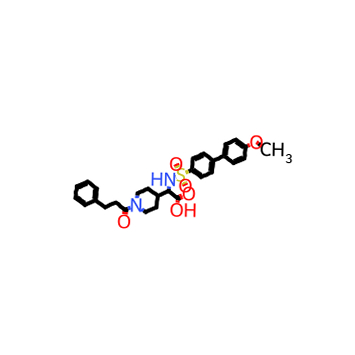 COc1ccc(-c2ccc(S(=O)(=O)NC(C(=O)O)C3CCN(C(=O)CCc4ccccc4)CC3)cc2)cc1